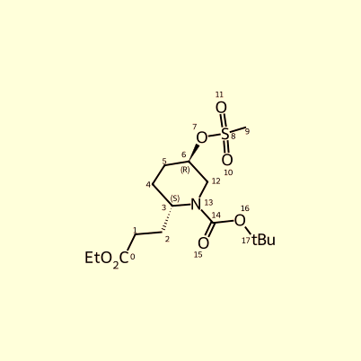 CCOC(=O)CC[C@@H]1CC[C@@H](OS(C)(=O)=O)CN1C(=O)OC(C)(C)C